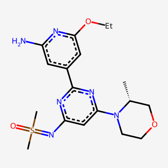 CCOc1cc(-c2nc(N=S(C)(C)=O)cc(N3CCOC[C@H]3C)n2)cc(N)n1